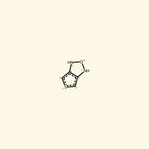 c1scc2c1NON2